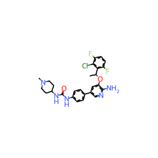 CC(Oc1cc(-c2ccc(NC(=O)NC3CCN(C)CC3)cc2)cnc1N)c1c(F)ccc(F)c1Cl